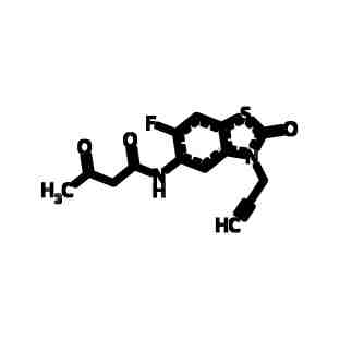 C#CCn1c(=O)sc2cc(F)c(NC(=O)CC(C)=O)cc21